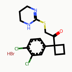 Br.O=C(CSC1=NCCCN1)C1(c2ccc(Cl)c(Cl)c2)CCC1